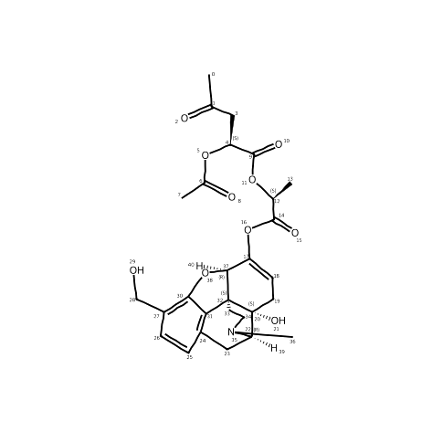 CC(=O)C[C@H](OC(C)=O)C(=O)O[C@@H](C)C(=O)OC1=CC[C@@]2(O)[C@H]3Cc4ccc(CO)c5c4[C@@]2(CCN3C)[C@H]1O5